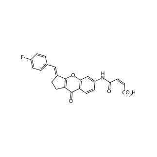 O=C(O)/C=C\C(=O)Nc1ccc2c(=O)c3c(oc2c1)/C(=C/c1ccc(F)cc1)CC3